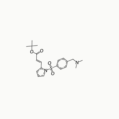 CN(C)Cc1ccc(S(=O)(=O)n2cccc2/C=C/C(=O)OC(C)(C)C)cc1